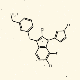 CCn1cc(-n2c(Cl)c(Sc3cccc(CC(=O)O)n3)c3ccc(Cl)c(F)c32)cn1